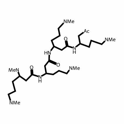 CNCCCC(CC(=O)NC(CCCNC)CC(=O)NC(CCCNC)CC(=O)NC(CCCNC)CC(C)=O)NC